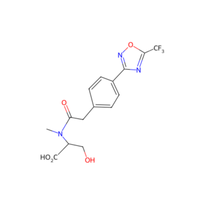 CN(C(=O)Cc1ccc(-c2noc(C(F)(F)F)n2)cc1)C(CO)C(=O)O